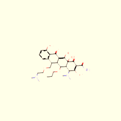 CCC(=O)OC1C2C(=C(O)C3(O)C(=O)C(C(N)=O)=C(O)C(N(C)C)C13)C(=O)c1c(O)cccc1C2COCCN(C)C